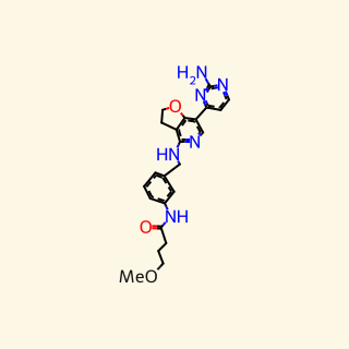 COCCCC(=O)Nc1cccc(CNc2ncc(-c3ccnc(N)n3)c3c2CCO3)c1